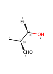 CC[C@@H](O)[C@H](C)[C]=O